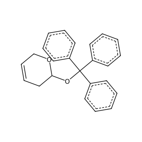 C1=CCC(OC(c2ccccc2)(c2ccccc2)c2ccccc2)OC1